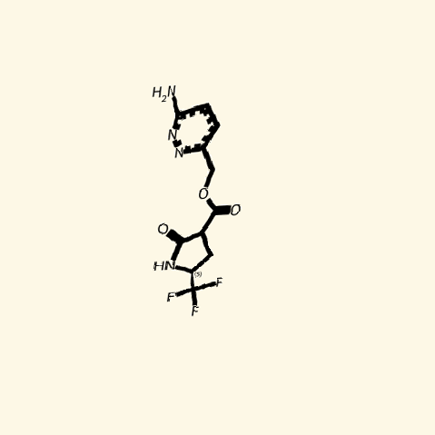 Nc1ccc(COC(=O)C2C[C@@H](C(F)(F)F)NC2=O)nn1